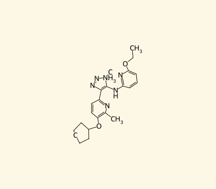 CCOc1cccc(Nc2c(-c3ccc(OC4CCCCC4)c(C)n3)nnn2C)n1